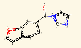 O=C(c1ccc2ccoc2c1)n1ccnc1